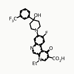 CCn1cc(C(=O)O)c(=O)c2c3cc(F)c(N4CCC(O)(c5cccc(C(F)(F)F)c5)CC4)cc3ncc21